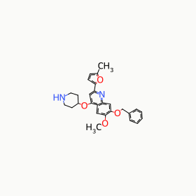 COc1cc2c(OC3CCNCC3)cc(-c3ccc(C)o3)nc2cc1OCc1ccccc1